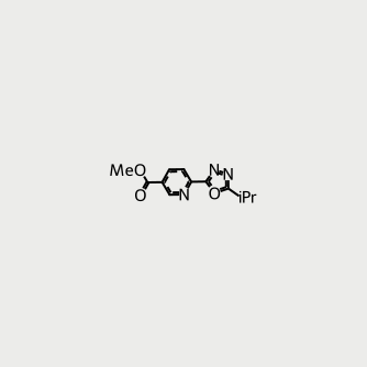 COC(=O)c1ccc(-c2nnc(C(C)C)o2)nc1